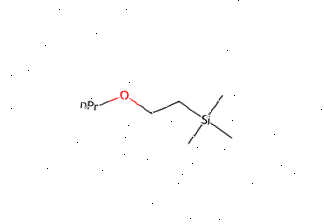 C[CH]COCC[Si](C)(C)C